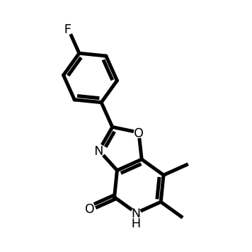 Cc1[nH]c(=O)c2nc(-c3ccc(F)cc3)oc2c1C